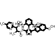 COc1ccc2[nH]c(-c3nnc(N[S+]([O-])C(C)C(OC)c4ncc(C)cn4)n3-c3c(OC)cccc3OC)cc2c1